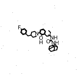 CC[C@H](Cc1cccc(N2CCC(Cc3ccc(F)cc3)CC2)c1O)NC(=O)NC12CC3CC(CC(C3)C1)C2